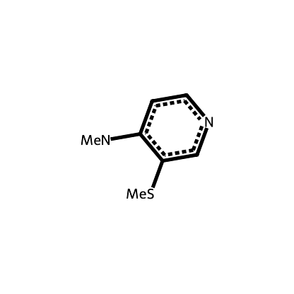 CNc1ccncc1SC